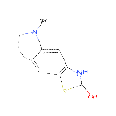 CC(C)n1ccc2cc3c(cc21)NC(O)S3